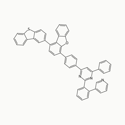 c1ccc(-c2cc(-c3ccc(-c4ccc(-c5ccc6sc7ccccc7c6c5)c5c4oc4ccccc45)cc3)nc(-c3ccccc3-c3cccnc3)n2)cc1